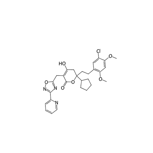 COc1cc(OC)c(CCC2(C3CCCC3)CC(O)=C(Cc3nc(-c4ccccn4)no3)C(=O)O2)cc1Cl